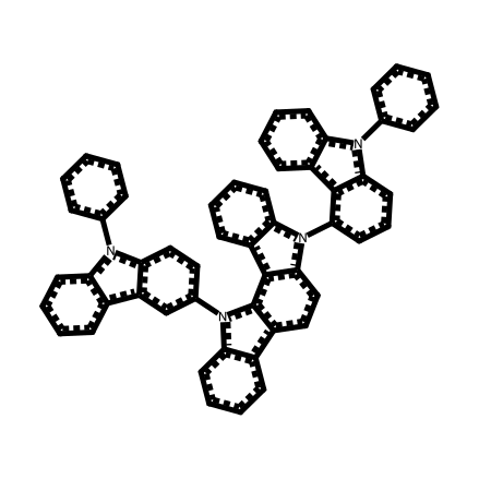 c1ccc(-n2c3ccccc3c3cc(-n4c5ccccc5c5ccc6c(c7ccccc7n6-c6cccc7c6c6ccccc6n7-c6ccccc6)c54)ccc32)cc1